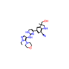 CCn1ncc(NC2=NC(c3cc(C#N)c4c(c3)C(C)(CO)CN4)=CCN2)c1N1CCOCC1